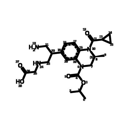 CC(C)OC(=O)N1C[C@H](C)N(C(=O)C2CC2)c2ccc(C(CN)CNCC(=O)O)cc21